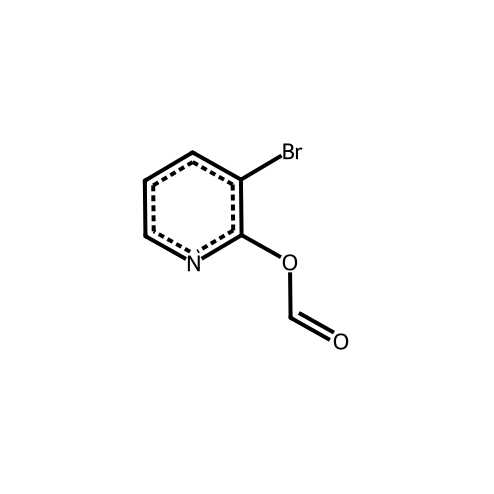 O=COc1ncccc1Br